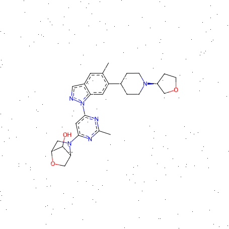 Cc1nc(N2CC3OCC2C3O)cc(-n2ncc3cc(C)c(C4CCN([C@H]5CCOC5)CC4)cc32)n1